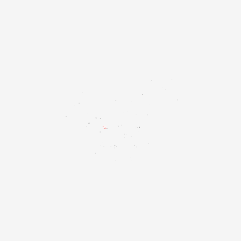 CC[N](CC)[Zr]([NH]C(C)(C)C[Si](C)(C)OC(C)(C)C)([NH]C(C)(C)C[Si](C)(C)OC(C)(C)C)[N](CC)CC